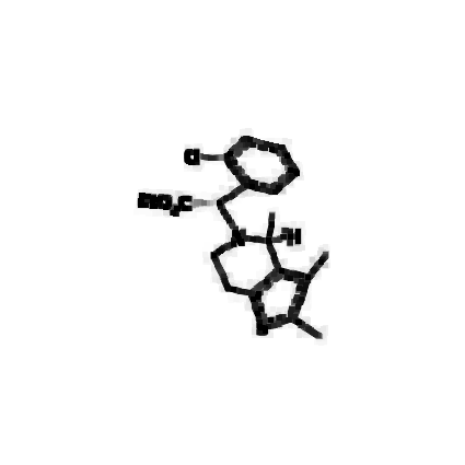 [2H]C1(C)c2c(sc(C)c2C)CCN1[C@H](C(=O)OCC)c1ccccc1Cl